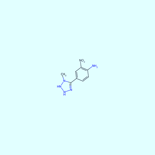 CN1NNN=C1c1ccc(N)c([N+](=O)[O-])c1